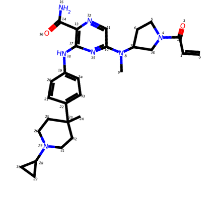 C=CC(=O)N1CCC(N(C)c2cnc(C(N)=O)c(Nc3ccc(C4(C)CCN(C5CC5)CC4)cc3)n2)C1